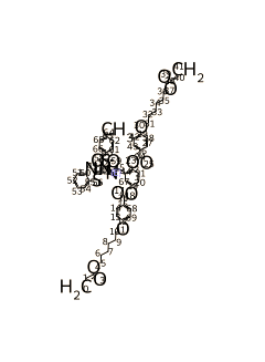 C=CC(=O)OCCCCCCOc1ccc(C(=O)Oc2ccc(OC(=O)c3ccc(OCCCCCCOC(=O)C=C)cc3)c(/C=N/N(c3nc4ccccc4s3)S(=O)(=O)c3ccc(C)cc3)c2)cc1